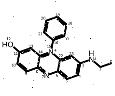 CCNc1ccc2nc3ccc(O)cc3[n+](-c3ccccc3)c2c1